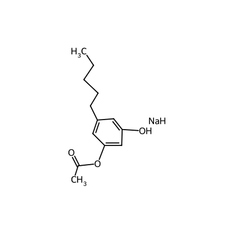 CCCCCc1cc(O)cc(OC(C)=O)c1.[NaH]